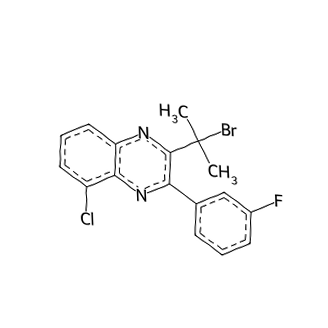 CC(C)(Br)c1nc2cccc(Cl)c2nc1-c1cccc(F)c1